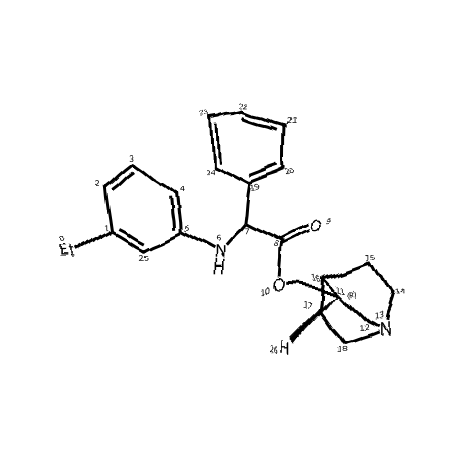 CCc1cccc(NC(C(=O)O[C@H]2CN3CCC2CC3)c2ccccc2)c1